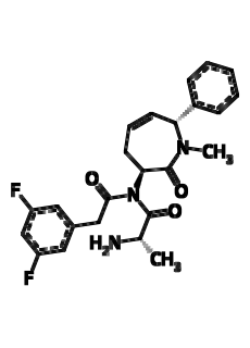 C[C@H](N)C(=O)N(C(=O)Cc1cc(F)cc(F)c1)[C@H]1CC=C[C@H](c2ccccc2)N(C)C1=O